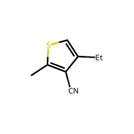 CCc1csc(C)c1C#N